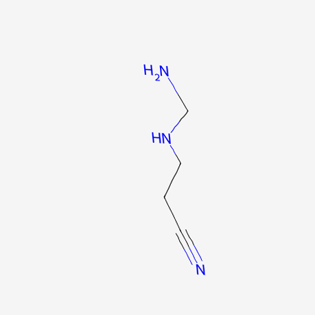 N#CCCNCN